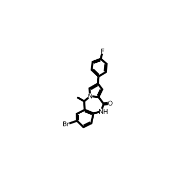 CC1c2cc(Br)ccc2NC(=O)c2cc(-c3ccc(F)cc3)cn21